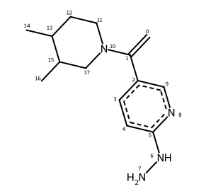 C=C(c1ccc(NN)nc1)N1CCC(C)C(C)C1